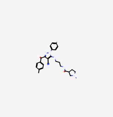 Cc1ccc(C(=O)c2nn(-c3ccc(Cl)cc3)c(NCCCNC(=O)C3CCN(C)C3)c2C#N)cc1